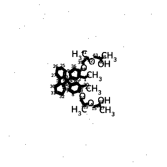 CCc1cc(C2(c3ccc(OCC(C)OCC(C)O)c(CC)c3)c3ccccc3-c3ccccc32)ccc1OCC(C)OCC(C)O